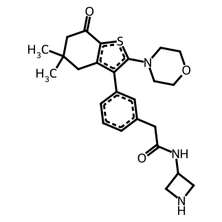 CC1(C)CC(=O)c2sc(N3CCOCC3)c(-c3cccc(CC(=O)NC4CNC4)c3)c2C1